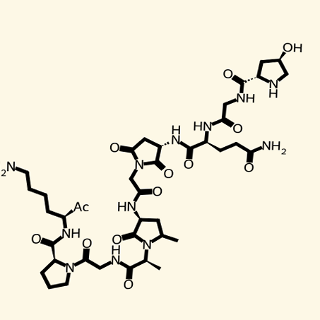 CC(=O)[C@H](CCCCN)NC(=O)[C@@H]1CCCN1C(=O)CNC(=O)[C@H](C)N1C(=O)[C@@H](NC(=O)CN2C(=O)C[C@H](NC(=O)[C@H](CCC(N)=O)NC(=O)CNC(=O)[C@@H]3C[C@@H](O)CN3)C2=O)CC1C